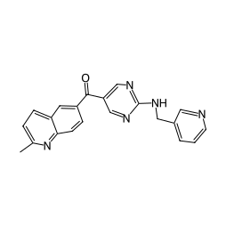 Cc1ccc2cc(C(=O)c3cnc(NCc4cccnc4)nc3)ccc2n1